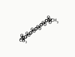 CCN1C(=O)c2ccc(C(=O)Oc3ccc(C(=O)Oc4ccc(OC(=O)c5ccc(OC(=O)c6ccc7c(c6)C(=O)N(CC)C7=O)cc5)cc4)cc3)cc2C1=O